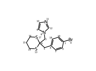 Brc1ccc(CC2(Cn3ccnc3)SCCCS2)cc1